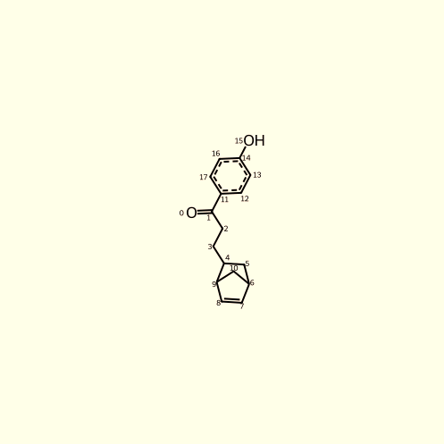 O=C(CCC1CC2C=CC1C2)c1ccc(O)cc1